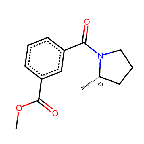 COC(=O)c1cccc(C(=O)N2CCC[C@@H]2C)c1